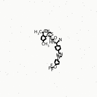 Cc1ccc(C(C)C)c(N2C(=O)CS/C2=N\C(=O)NC(C#N)c2ccc(-c3ncn(-c4ccc(OC(F)(F)F)cc4)n3)cc2)c1